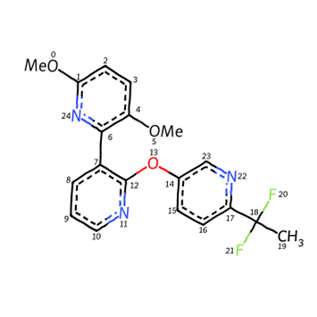 COc1ccc(OC)c(-c2cccnc2Oc2ccc(C(C)(F)F)nc2)n1